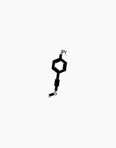 CC(C)c1ccc(C#CSI)cc1